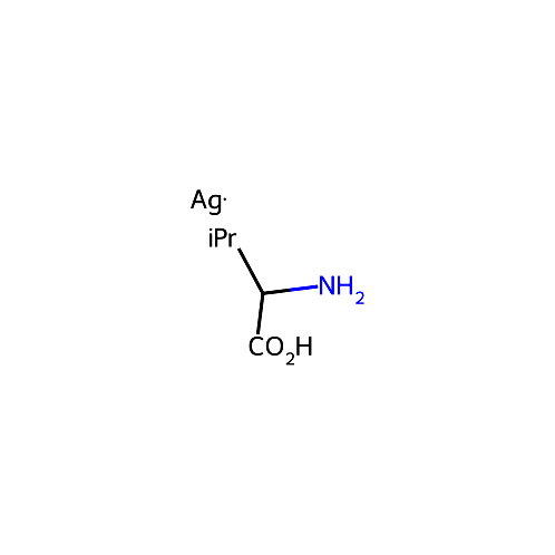 CC(C)C(N)C(=O)O.[Ag]